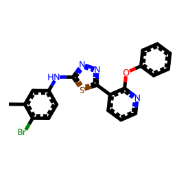 Cc1cc(Nc2nnc(-c3cccnc3Oc3ccccc3)s2)ccc1Br